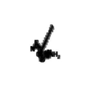 CCCCCCCCCCCCCCCCCC[C@H](COP(=O)(O)OC[C@](C)(CCc1ccc2c(N)ncnn12)OC)OCc1cc(F)cc(C#N)c1